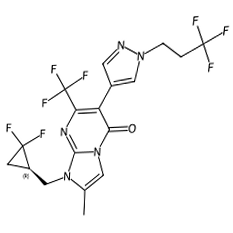 Cc1cn2c(=O)c(-c3cnn(CCC(F)(F)F)c3)c(C(F)(F)F)nc2n1C[C@H]1CC1(F)F